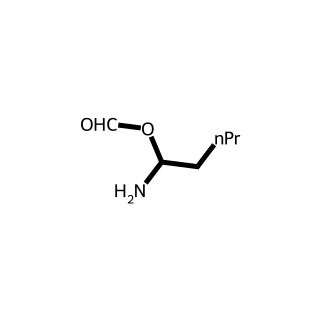 CCCCC(N)OC=O